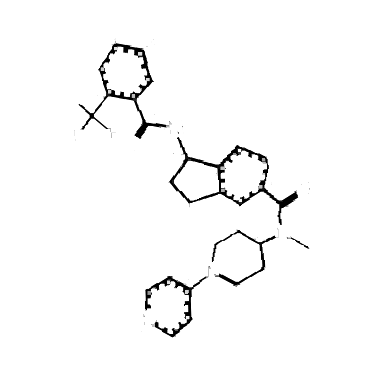 CN(C(=O)c1ccc2c(c1)CCC2NC(=O)c1ccccc1C(F)(F)F)C1CCN(c2ccncc2)CC1